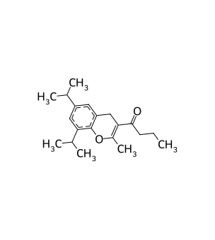 CCCC(=O)C1=C(C)Oc2c(cc(C(C)C)cc2C(C)C)C1